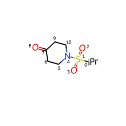 CC(C)S(=O)(=O)N1CCC(=O)CC1